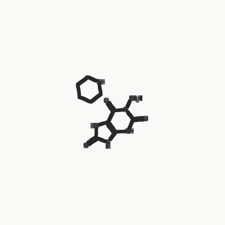 C1CCNCC1.O=c1[nH]c2[nH]c(=O)n(S(=O)(=O)O)c(=O)c2[nH]1